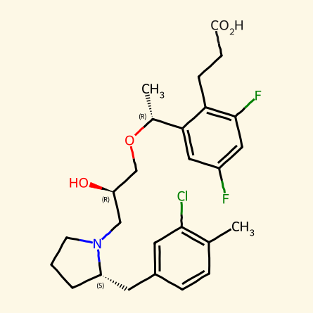 Cc1ccc(C[C@@H]2CCCN2C[C@@H](O)CO[C@H](C)c2cc(F)cc(F)c2CCC(=O)O)cc1Cl